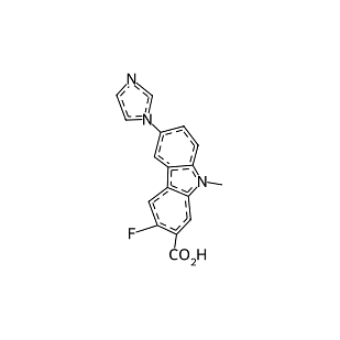 Cn1c2ccc(-n3ccnc3)cc2c2cc(F)c(C(=O)O)cc21